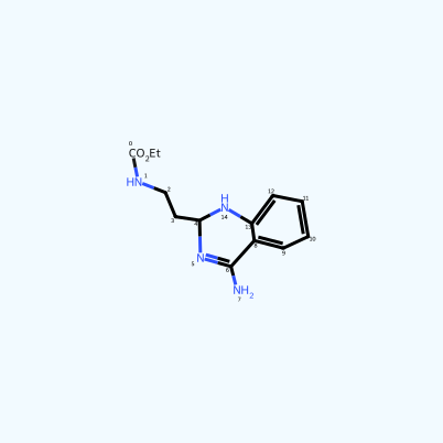 CCOC(=O)NCCC1N=C(N)c2ccccc2N1